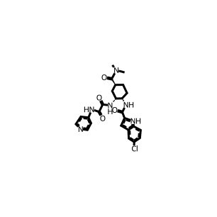 CN(C)C(=O)[C@H]1CC[C@H](NC(=O)c2cc3cc(Cl)ccc3[nH]2)[C@H](NC(=O)C(=O)Nc2ccncc2)C1